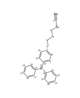 CCCCSC#N.c1ccc(P(c2ccccc2)c2ccccc2)cc1